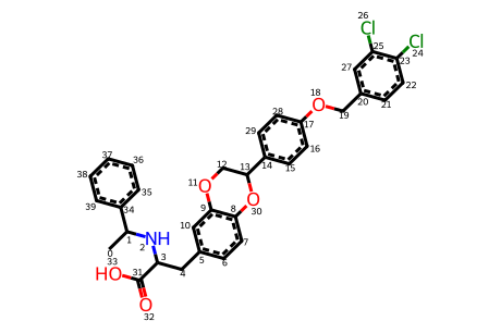 CC(NC(Cc1ccc2c(c1)OCC(c1ccc(OCc3ccc(Cl)c(Cl)c3)cc1)O2)C(=O)O)c1ccccc1